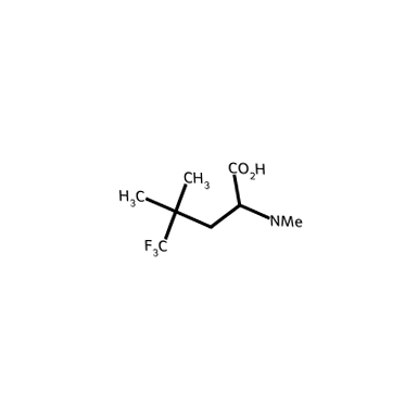 CNC(CC(C)(C)C(F)(F)F)C(=O)O